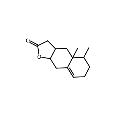 CC1CCC=C2CC3OC(=O)CC3CC21C